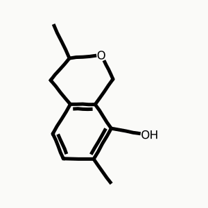 Cc1ccc2c(c1O)COC(C)C2